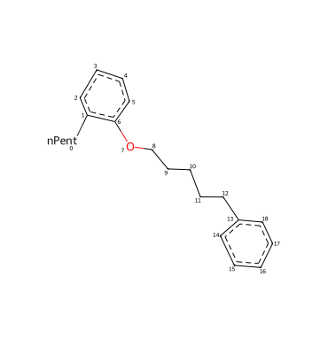 [CH2]CCCCc1ccccc1OCCCCCc1ccccc1